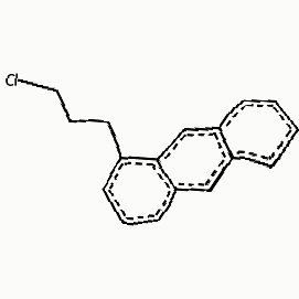 ClCCCc1cccc2cc3ccccc3cc12